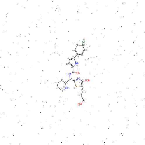 O=C(NC(c1nc(O)c(CCCO)s1)C1CCCCN1)c1ccc(-c2ccc(Cl)cc2)[nH]1